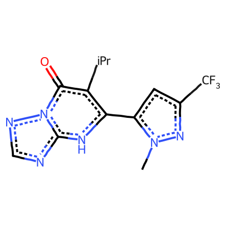 CC(C)c1c(-c2cc(C(F)(F)F)nn2C)[nH]c2ncnn2c1=O